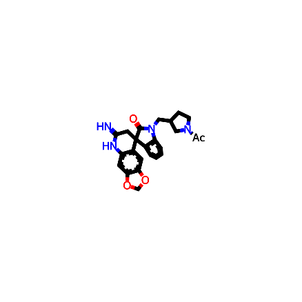 CC(=O)N1CCC(CN2C(=O)C3(CC(=N)Nc4cc5c(cc43)OCO5)c3ccccc32)C1